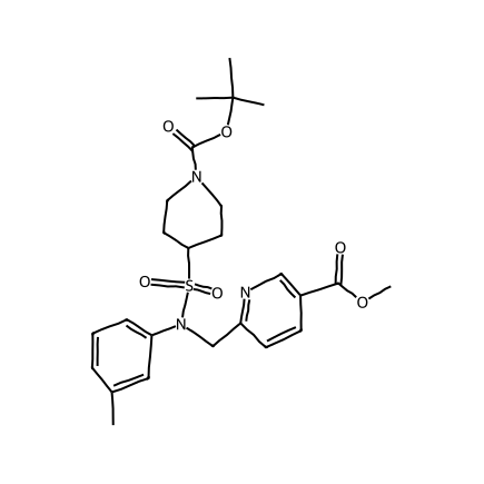 COC(=O)c1ccc(CN(c2cccc(C)c2)S(=O)(=O)C2CCN(C(=O)OC(C)(C)C)CC2)nc1